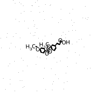 CCOc1ccc(S(=O)(=O)Oc2ccc(C=CC(=O)O)cc2OC)cc1